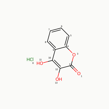 Cl.O=c1oc2ccccc2c(O)c1O